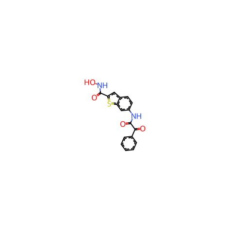 O=C(Nc1ccc2cc(C(=O)NO)sc2c1)C(=O)c1ccccc1